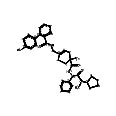 CN(C(=O)[C@@H](NC(=O)C1(C)CC=C(CNC(=O)c2ccccc2-c2ccc(C(C)(C)C)cc2)CC1)c1ccccc1)C1CCCC1